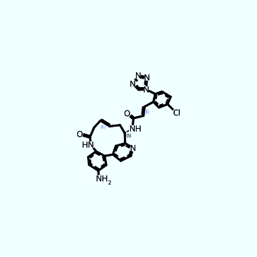 Nc1ccc2c(c1)-c1ccnc(c1)[C@@H](NC(=O)/C=C/c1cc(Cl)ccc1-n1cnnn1)C/C=C/CC(=O)N2